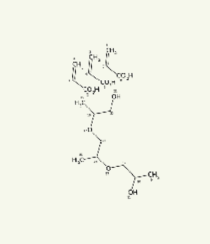 C=CC(=O)O.C=CC(=O)O.C=CC(=O)O.CC(O)COC(C)COC(C)CO